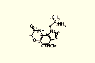 CC(N)Cn1ncc2ccc3c(c21)NC(=O)CO3.Cl